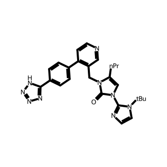 CCCc1cn(-c2nccn2C(C)(C)C)c(=O)n1Cc1cnccc1-c1ccc(-c2nnn[nH]2)cc1